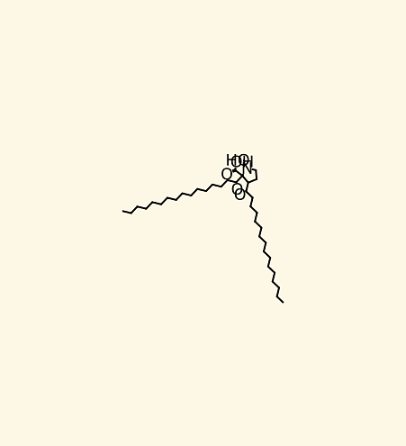 CCCCCCCCCCCCCCCC(=O)C1CCN(O)C1(C(=O)O)C(=O)CCCCCCCCCCCCCCC